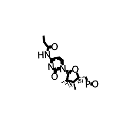 CCC(=O)Nc1ccn([C@@H]2O[C@H](CP=O)[C@@H](C)[C@@H]2C)c(=O)n1